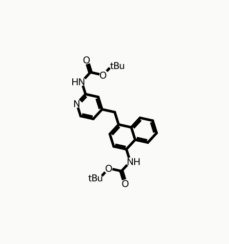 CC(C)(C)OC(=O)Nc1cc(Cc2ccc(NC(=O)OC(C)(C)C)c3ccccc23)ccn1